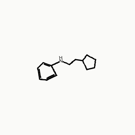 c1ccc(NCCC2CCCC2)cc1